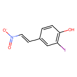 O=[N+]([O-])C=Cc1ccc(O)c(I)c1